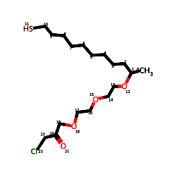 CC(CCCCCCCCCS)OCCOCCOCC(=O)CCl